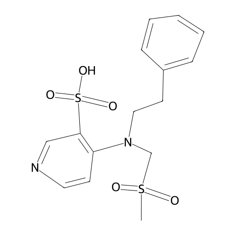 CS(=O)(=O)CN(CCc1ccccc1)c1ccncc1S(=O)(=O)O